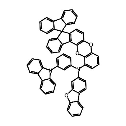 c1cc(N(c2ccc3c(c2)oc2ccccc23)c2cccc3c2Oc2c(ccc4c2-c2ccccc2C42c4ccccc4-c4ccccc42)O3)cc(-n2c3ccccc3c3ccccc32)c1